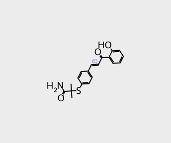 CC(C)(Sc1ccc(/C=C/C(=O)c2ccccc2O)cc1)C(N)=O